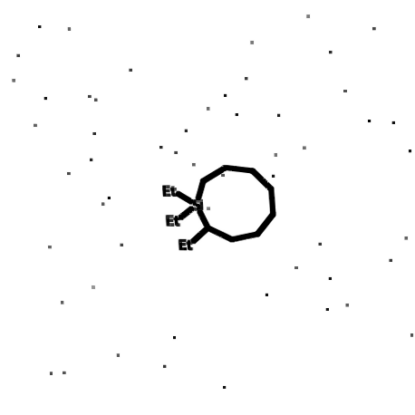 CCC1CCCCCCC[Si]1(CC)CC